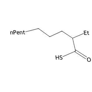 CCCCCCCCC(CC)C(=O)S